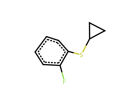 Fc1ccccc1SC1CC1